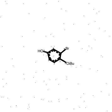 CC(C)COc1ccc(O)cc1Br